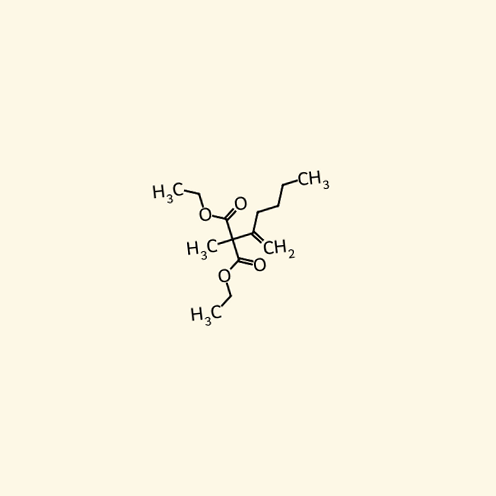 C=C(CCCC)C(C)(C(=O)OCC)C(=O)OCC